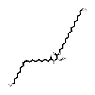 CCCCCCCC/C=C\CCCCCCCC(=O)N[C@@H](CO)C(=O)OCCCCCCCCCCCCCCCC